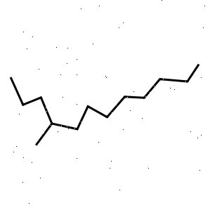 CCCCCCCCC(C)CCC